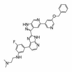 CN(C)CCNc1cc(F)cc(-c2ccnc3[nH]c(-c4n[nH]c5cnc(-c6cncc(OCc7ccccc7)c6)cc45)nc23)c1